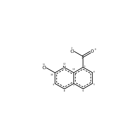 O=C(Cl)c1cccc2ccc(Cl)nc12